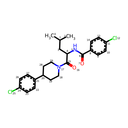 CC(C)CC(NC(=O)c1ccc(Cl)cc1)C(=O)N1CCC(c2ccc(Cl)cc2)CC1